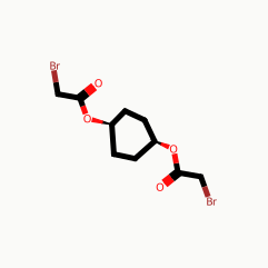 O=C(CBr)O[C@H]1CC[C@@H](OC(=O)CBr)CC1